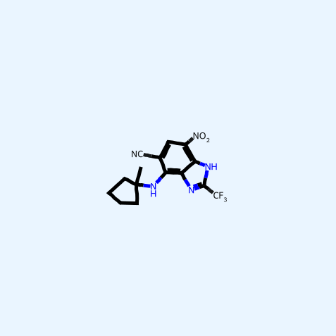 CC1(Nc2c(C#N)cc([N+](=O)[O-])c3[nH]c(C(F)(F)F)nc23)CCCC1